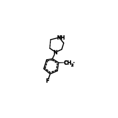 [CH2]c1cc(F)ccc1N1CCNCC1